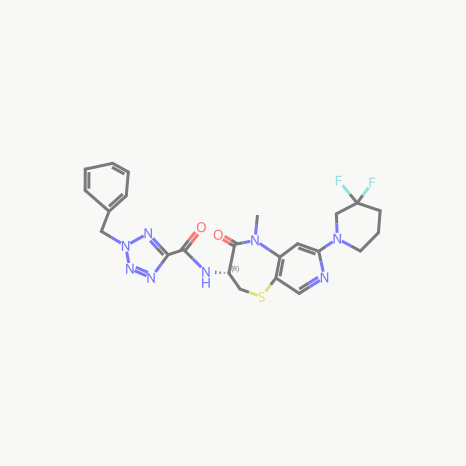 CN1C(=O)[C@@H](NC(=O)c2nnn(Cc3ccccc3)n2)CSc2cnc(N3CCCC(F)(F)C3)cc21